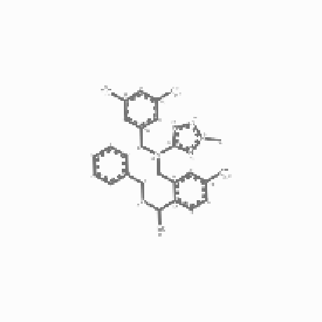 CCC(OCc1ccccc1)c1ccc(C(F)(F)F)cc1CN(Cc1cc(C(F)(F)F)cc(C(F)(F)F)c1)c1nnn(C)n1